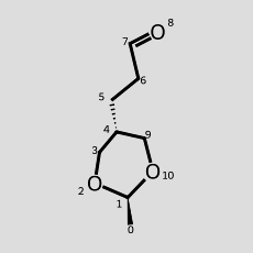 C[C@H]1OC[C@H](CCC=O)CO1